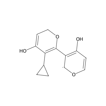 OC1=CCOC(C2=C(O)C=CO[CH]2)=C1C1CC1